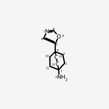 NC12CCC(c3cnco3)(CC1)CC2